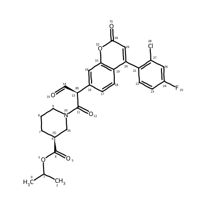 CC(C)OC(=O)[C@H]1CCCN(C(=O)[C@@H](C=O)c2ccc3c(-c4ccc(F)cc4Cl)cc(=O)oc3c2)C1